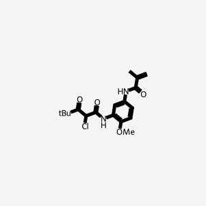 C=C(C)C(=O)Nc1ccc(OC)c(NC(=O)C(Cl)C(=O)C(C)(C)C)c1